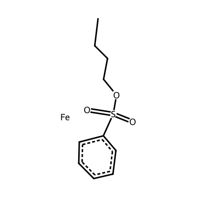 CCCCOS(=O)(=O)c1ccccc1.[Fe]